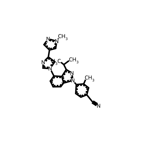 Cc1cc(C#N)ccc1-n1nc(C(C)C)c2c(-n3cnc(-c4cnn(C)c4)c3)cccc21